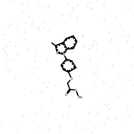 Cc1nn(-c2ccc(OCC(=O)OC(C)(C)C)cc2)c2ccccc12